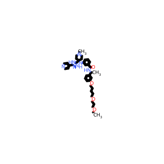 CCOCCCOCCCCCOc1cccc(C(C)NC(=O)c2cccc(NC3(c4nnc(-c5ccncc5)[nH]4)CCN(C)CC3)c2)c1